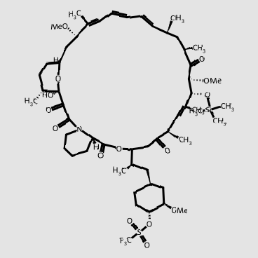 CO[C@H]1C[C@@H]2CC[C@@H](C)[C@@](O)(O2)C(=O)C(=O)N2CCCC[C@H]2C(=O)OC([C@H](C)C[C@@H]2CC[C@@H](OS(=O)(=O)C(F)(F)F)[C@H](OC)C2)CC(=O)[C@H](C)/C=C(\C)[C@@H](O[Si](C)(C)C)[C@@H](OC)C(=O)[C@H](C)C[C@H](C)/C=C/C=C/C=C/1C